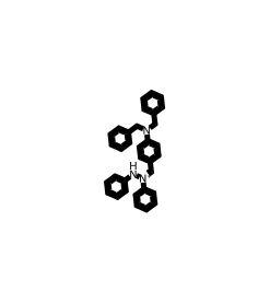 C(c1ccc(N(Cc2ccccc2)Cc2ccccc2)cc1)=[N+](Nc1ccccc1)c1ccccc1